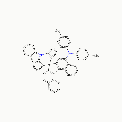 CC(C)(C)c1ccc(N(c2ccc(C(C)(C)C)cc2)c2cc3c(c4ccccc24)-c2c(ccc4ccccc24)C32c3ccccc3-n3c4ccccc4c4cccc2c43)cc1